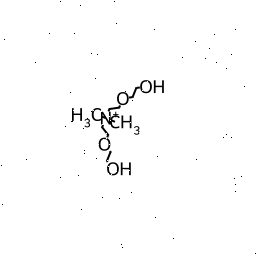 C[N+](C)(CCOCCO)CCOCCO